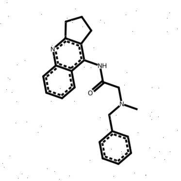 CN(CC(=O)Nc1c2c(nc3ccccc13)CCC2)Cc1ccccc1